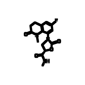 CNC(=O)[C@H]1CN(c2cc(F)cc3c2N(C)C(=O)CC3)C(=O)O1